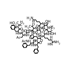 CC(=O)CC(NC(=O)CNC(=O)C(NC(=O)C(CO)NC(=O)C(CCCCN)NC(=O)C(CO)NC(=O)C(NC(=O)C(CCCNC(=N)N)NC(=O)C(Cc1cnc[nH]1)NC(=O)C(Cc1ccccc1)NC(=O)C(Cc1ccccc1)NC(C)=O)C(C)O)C(C)O)C(=O)NC(Cc1ccccc1)C(=O)N[C@@H](C)C(=O)O